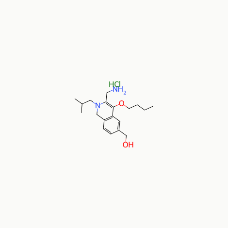 CCCCOC1=C(CN)N(CC(C)C)Cc2ccc(CO)cc21.Cl